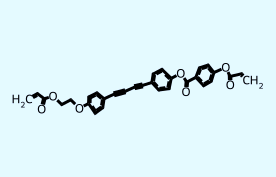 C=CC(=O)OCCOc1ccc(C#CC#Cc2ccc(OC(=O)c3ccc(OC(=O)C=C)cc3)cc2)cc1